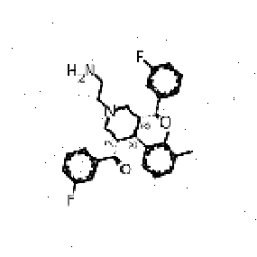 Cc1cccc([C@@H]2[C@@H](C(=O)c3cccc(F)c3)CN(CCN)C[C@H]2C(=O)c2cccc(F)c2)c1C